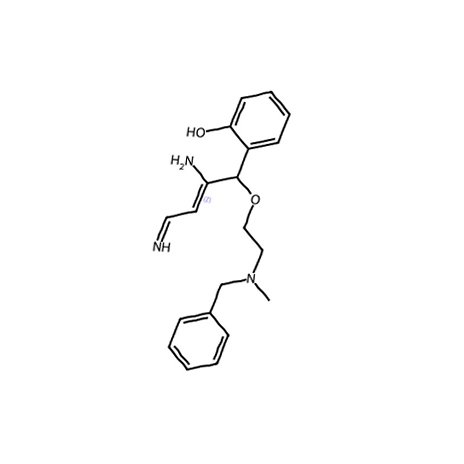 CN(CCOC(/C(N)=C/C=N)c1ccccc1O)Cc1ccccc1